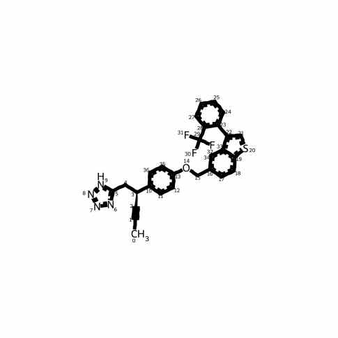 CC#C[C@@H](Cc1nnn[nH]1)c1ccc(OCc2ccc3scc(-c4ccccc4C(F)(F)F)c3c2)cc1